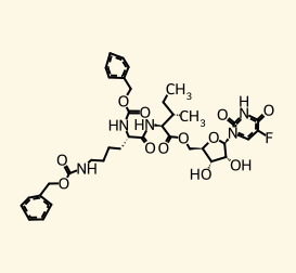 CC[C@H](C)[C@H](NC(=O)[C@H](CCCCNC(=O)OCc1ccccc1)NC(=O)OCc1ccccc1)C(=O)OC[C@H]1O[C@@H](n2cc(F)c(=O)[nH]c2=O)[C@H](O)[C@@H]1O